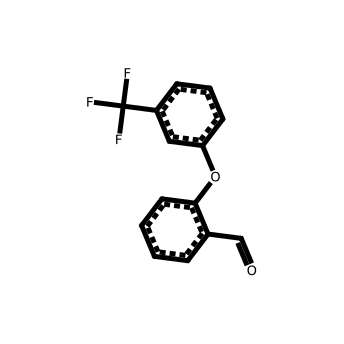 O=Cc1ccccc1Oc1cccc(C(F)(F)F)c1